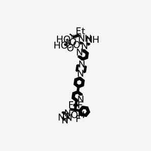 CC[C@H](NC(=O)N(C=N)c1ccc(N2CCN(c3ccc(-c4ccc(C(F)(F)C(O)(Cn5cnnn5)c5ccccc5F)nc4)cc3)CC2)cn1)[C@H](C)OP(=O)(O)O